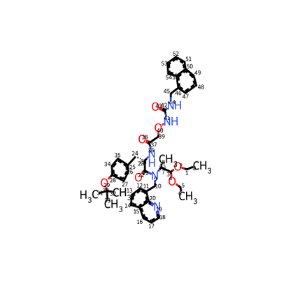 CCOC(OCC)[C@H](C)N(Cc1cccc2cccnc12)C(=O)[C@H](Cc1ccc(OC(C)(C)C)cc1)NC(=O)CONC(=O)NCc1cccc2ccccc12